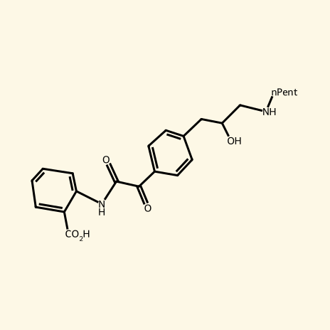 CCCCCNCC(O)Cc1ccc(C(=O)C(=O)Nc2ccccc2C(=O)O)cc1